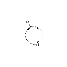 CCC1=C/CCCNCCC/C=C\1